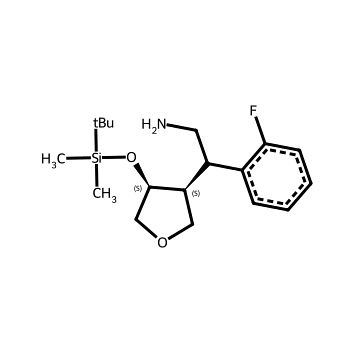 CC(C)(C)[Si](C)(C)O[C@@H]1COC[C@@H]1C(CN)c1ccccc1F